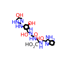 NC1C(C(O)N[C@@H](CNC(=O)CNC(O)c2cc(O)cc(NC3=NCC(O)CN3)c2)C(=O)O)=Nc2ccccc21